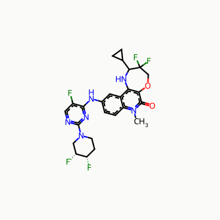 Cn1c(=O)c2c(c3cc(Nc4nc(N5CC[C@H](F)[C@H](F)C5)ncc4F)ccc31)NC(C1CC1)C(F)(F)CO2